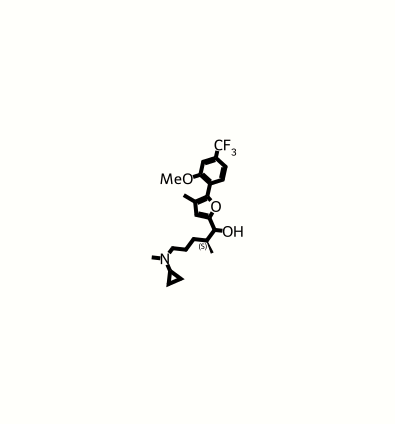 COc1cc(C(F)(F)F)ccc1-c1oc(C(O)[C@@H](C)CCCN(C)C2CC2)cc1C